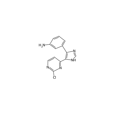 Nc1cccc(-c2nc[nH]c2-c2ccnc(Cl)n2)c1